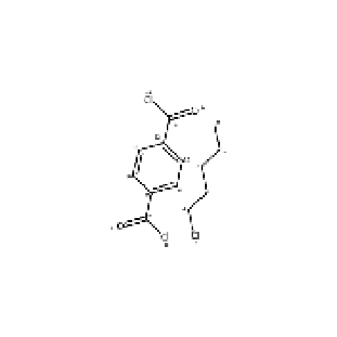 CCCCCCl.O=C(Cl)c1ccc(C(=O)Cl)cc1